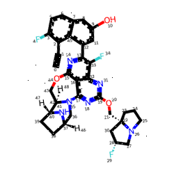 C#Cc1c(F)ccc2cc(O)cc(-c3nc4c5c(nc(OC[C@]67CCCN6C[C@H](F)C7)nc5c3F)N3C[C@@H]5CC[C@@H](N5)[C@H]3CO4)c12